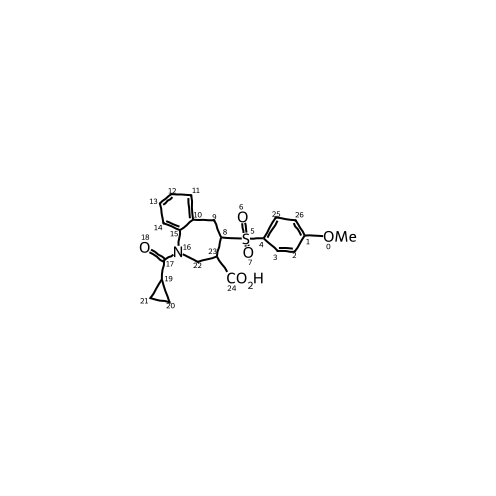 COc1ccc(S(=O)(=O)C2Cc3ccccc3N(C(=O)C3CC3)CC2C(=O)O)cc1